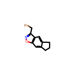 BrCc1noc2cc3c(cc12)CCC3